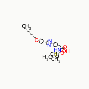 CCCCCCCCCOc1ccc(-c2cnc(-c3ccc(C[C@H](NC(=O)c4ccc(C(C)(C)C)s4)C(=O)O)cc3)nc2)cc1